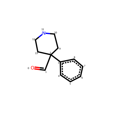 O=CC1(c2ccccc2)CC[N]CC1